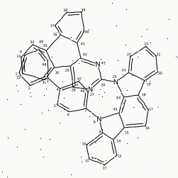 c1ccc(-c2ccc(-n3c4ccccc4c4ccc5c6ccccc6n(-c6ncc7c8ccccc8c8ccccc8c7n6)c5c43)cc2)cc1